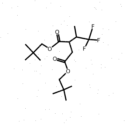 CC(C(CC(=O)OCC(C)(C)C)C(=O)OCC(C)(C)C)C(F)(F)F